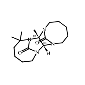 CC1(C)CCCCN2C(=O)N1[C@@]1(C)[C@@H]2N2CCCCCN1C2=O